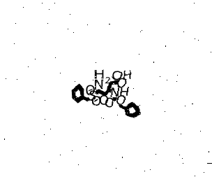 NC(C(=O)C(CC(=O)O)NC(=O)OCc1ccccc1)S(=O)(=O)Cc1ccccc1